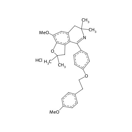 COc1ccc(CCOc2ccc(C3=NC(C)(C)Cc4cc(OC)c5c(c43)CC(C)(C)O5)cc2)cc1.Cl